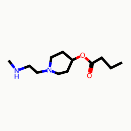 CCCC(=O)OC1CCN(CCNC)CC1